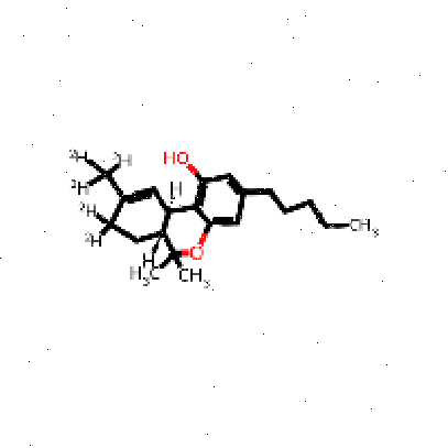 [2H]C([2H])([2H])C1=C[C@H]2c3c(O)cc(CCCCC)cc3OC(C)(C)[C@@H]2CC1([2H])[2H]